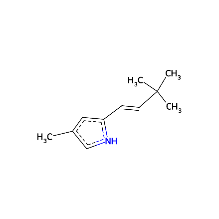 Cc1c[nH]c(/C=C/C(C)(C)C)c1